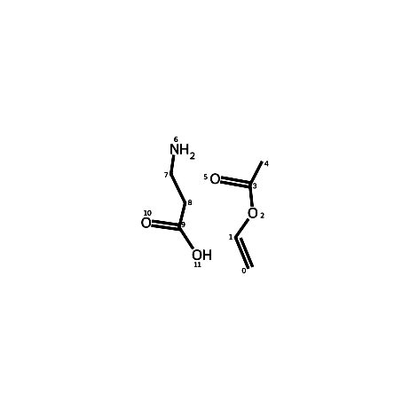 C=COC(C)=O.NCCC(=O)O